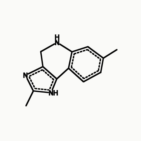 Cc1ccc2c(c1)NCc1nc(C)[nH]c1-2